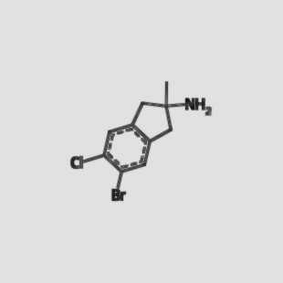 CC1(N)Cc2cc(Cl)c(Br)cc2C1